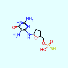 Nc1nc(NC2CCC(COP(=O)(O)S)O2)c(N)c(=O)[nH]1